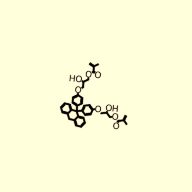 C=C(C)C(=O)OCC(O)COc1ccc(C2(c3ccc(OCC(O)COC(=O)C(=C)C)cc3)c3ccccc3Cc3ccccc32)cc1